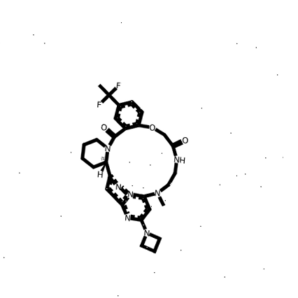 CN1CCNC(=O)COc2ccc(C(C)(F)F)cc2C(=O)N2CCCC[C@H]2c2cc3nc(N4CCC4)cc1n3n2